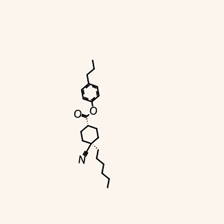 CCCCCC[C@]1(C#N)CC[C@H](C(=O)Oc2ccc(CCC)cc2)CC1